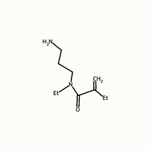 C=C(CC)C(=O)N(CC)CCCN